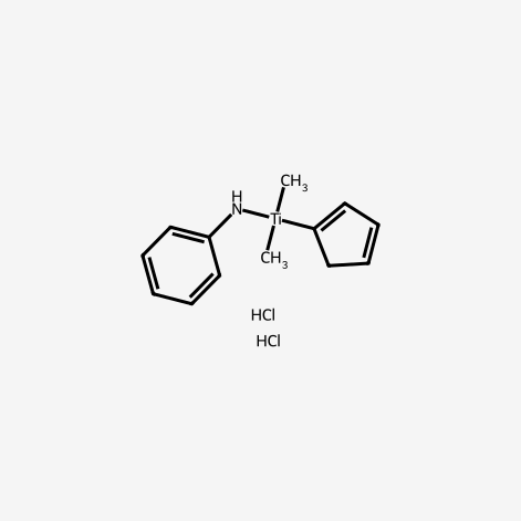 Cl.Cl.[CH3][Ti]([CH3])([NH]c1ccccc1)[C]1=CC=CC1